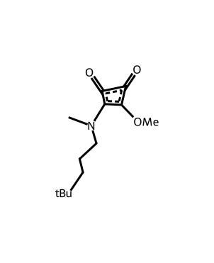 COc1c(N(C)CCCC(C)(C)C)c(=O)c1=O